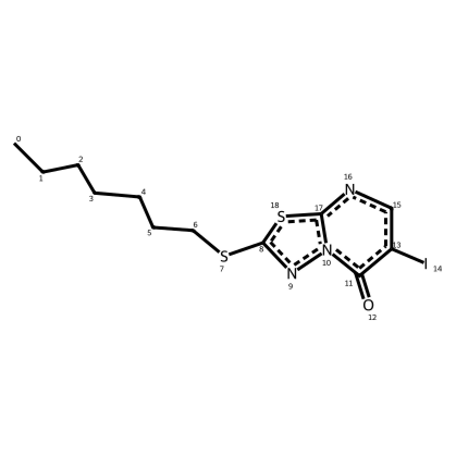 CCCCCCCSc1nn2c(=O)c(I)cnc2s1